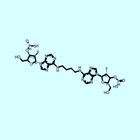 O=[PH](S)OC1[C@@H](F)C(n2cnc3c(NCCCCNc4ncnc5c4ncn5[C@@H]4OC(CO)[C@@H](O[PH](=O)S)[C@H]4F)ncnc32)O[C@@H]1CO